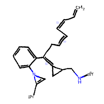 C=C/C=C\C=C/C/C(=C1/CC1CNCCC)c1ccccc1N1C=C1C(C)C